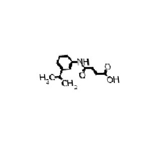 C=C(C)c1cccc(NC(=O)C=CC(=O)O)c1